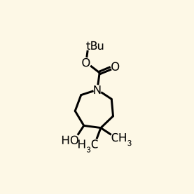 CC(C)(C)OC(=O)N1CCC(O)C(C)(C)CC1